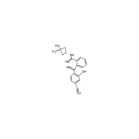 C#Cc1ccc(C(=N)c2ccccc2C(=N)N[C@H]2C[C@@](C)(O)C2)c(O)c1